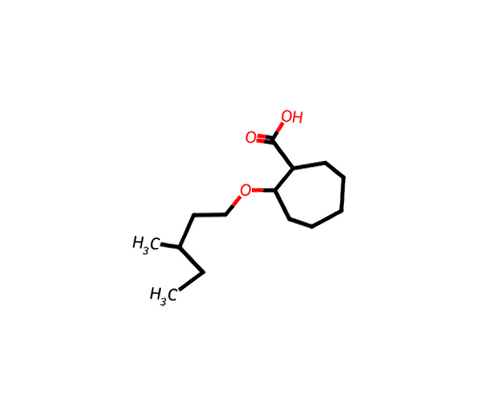 CCC(C)CCOC1CCCCCC1C(=O)O